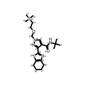 CC(C)(C)NC(=O)c1cn(COCCS(C)(C)C)nc1-c1nc2c(s1)CCCC2